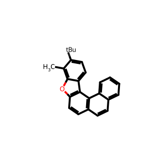 Cc1c(C(C)(C)C)ccc2c1oc1ccc3ccc4ccccc4c3c12